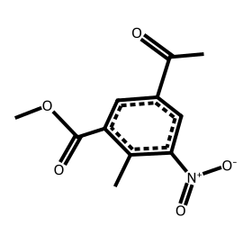 COC(=O)c1cc(C(C)=O)cc([N+](=O)[O-])c1C